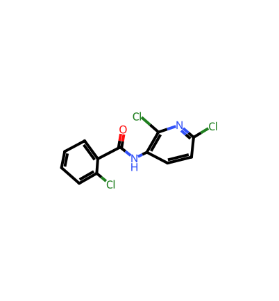 O=C(Nc1ccc(Cl)nc1Cl)c1ccccc1Cl